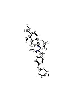 C=C/N=C(Nc1ccc(CN2CCNCC2)cc1)\C(C(=O)N(C)C)=C(/N)OC1C=CC(NCC)=C(C=C)C1F